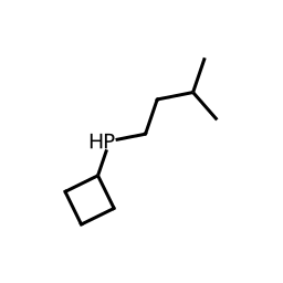 CC(C)CCPC1CCC1